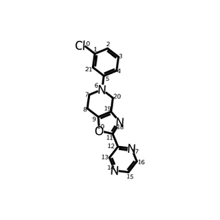 Clc1cccc(N2CCc3oc(-c4cnccn4)nc3C2)c1